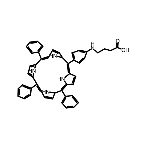 O=C(O)CCCNc1ccc(/C2=c3\cc/c([nH]3)=C(\c3ccccc3)C3C=C/C(=C(\c4ccccc4)c4ccc([nH]4)/C(c4ccccc4)=C4/C=CC2N4)N3)cc1